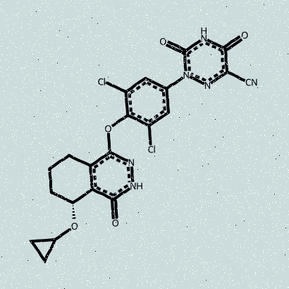 N#Cc1nn(-c2cc(Cl)c(Oc3n[nH]c(=O)c4c3CCC[C@H]4OC3CC3)c(Cl)c2)c(=O)[nH]c1=O